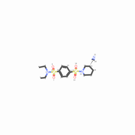 CCN(CC)S(=O)(=O)c1ccc(S(=O)(=O)N2CCC[C@@H](C#N)C2)cc1